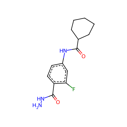 NNC(=O)c1ccc(NC(=O)C2CCCCC2)cc1F